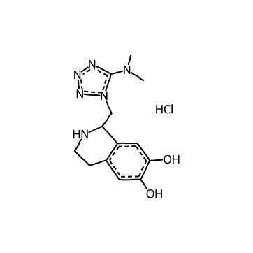 CN(C)c1nnnn1CC1NCCc2cc(O)c(O)cc21.Cl